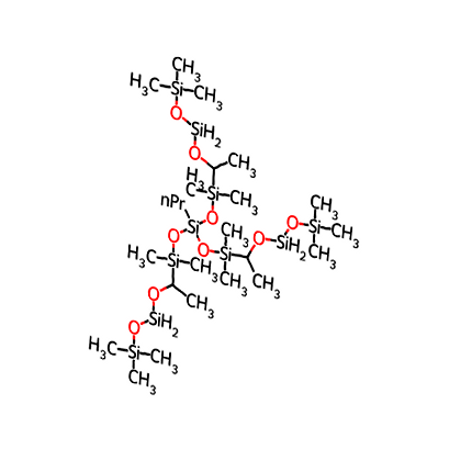 CC[CH][Si](O[Si](C)(C)C(C)O[SiH2]O[Si](C)(C)C)(O[Si](C)(C)C(C)O[SiH2]O[Si](C)(C)C)O[Si](C)(C)C(C)O[SiH2]O[Si](C)(C)C